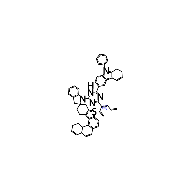 C=C/C=C(\C=C)C1=NC(N2c3ccccc3CC23CCc2c(sc4ccc5c(c24)C2CCC=CC2C=C5)C3)NC(c2ccc3c(c2)c2c(n3-c3ccccc3)CCC=C2)=N1